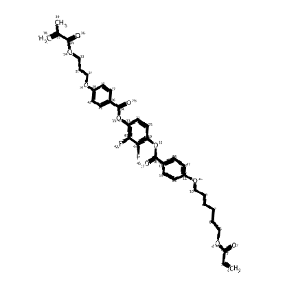 C=CC(=O)OCCCCCCOc1ccc(C(=O)Oc2ccc(OC(=O)c3ccc(OCCCOC(=O)C(=C)C)cc3)c(F)c2F)cc1